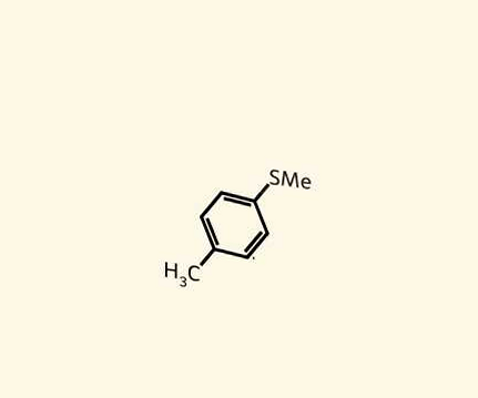 CSc1c[c]c(C)cc1